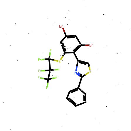 FC(F)(F)C(F)(F)C(F)(F)Sc1cc(Br)[c]c(Br)c1-c1csc(-c2ccccc2)n1